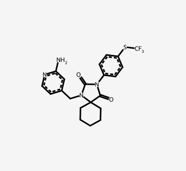 Nc1cc(CN2C(=O)N(c3ccc(SC(F)(F)F)cc3)C(=O)C23CCCCC3)ccn1